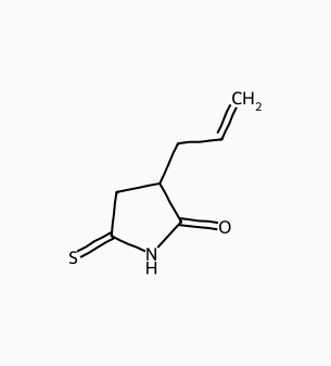 C=CCC1CC(=S)NC1=O